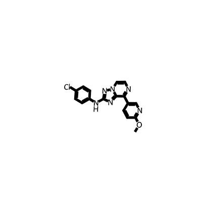 COc1ccc(-c2nccn3nc(Nc4ccc(Cl)cc4)nc23)cn1